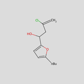 C=C(Cl)CC(O)c1ccc(CCCC)o1